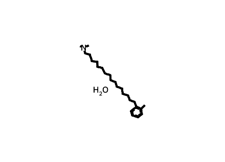 Cc1ccccc1CCCCCCCCCCCCCCCCN(C)C.O